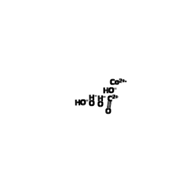 [C+2]=O.[Co+2].[OH-].[OH-].[OH-].[OH-]